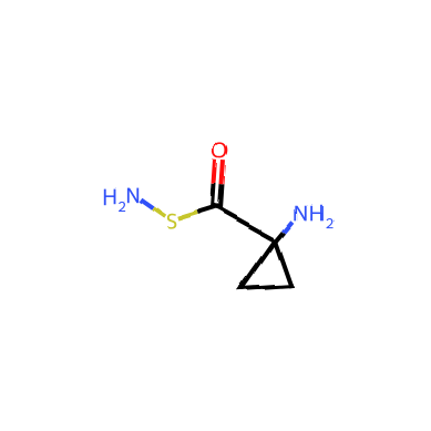 NSC(=O)C1(N)CC1